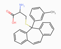 Cc1cccc(C2(SCC(N)C(=O)O)c3ccccc3C=Cc3ccccc32)c1